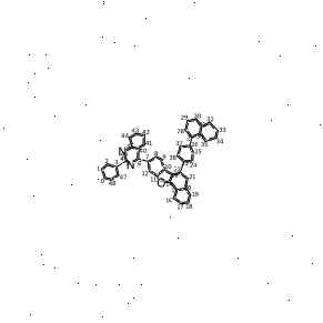 c1ccc(-c2nc(-c3ccc4c(c3)oc3c5ccccc5cc(-c5ccc(-c6cccc7ccccc67)cc5)c43)c3ccccc3n2)cc1